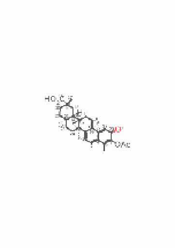 CC(=O)OC1=C(C)C2=CC=C3[C@@](C)(CC[C@@]4(C)[C@@H]5C[C@](C)(C(=O)O)CC[C@]5(C)CC[C@]34C)C2=CC1=O